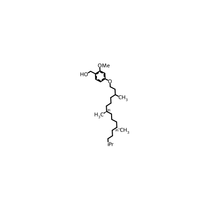 COc1cc(OCCC(C)CCC[C@H](C)CCC[C@H](C)CCCC(C)C)ccc1CO